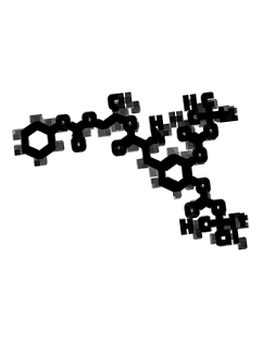 CCC(C)(C)OC(=O)Oc1ccc(C[C@H](N)C(=O)O[C@@H](C)COC(=O)OC2CCCCC2)cc1OC(=O)OC(C)(C)CC